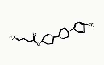 C=CCCC(=O)O[C@H]1CC[C@H]([C@H]2CC[C@H](c3ccc(C(F)(F)F)cc3)CC2)CC1